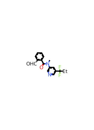 CCC(F)(F)c1cncc(N(C)C(=O)c2ccccc2C=O)c1